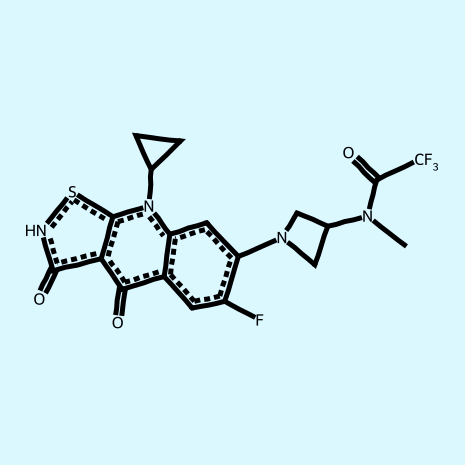 CN(C(=O)C(F)(F)F)C1CN(c2cc3c(cc2F)c(=O)c2c(=O)[nH]sc2n3C2CC2)C1